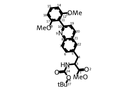 COC(=O)C(Cc1ccc2nc(-c3c(OC)cccc3OC)ccc2c1)NC(=O)OC(C)(C)C